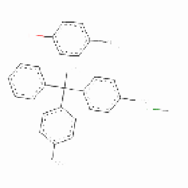 CCCCl.COc1ccc(C(OC)(c2ccccc2)c2ccc(OC)cc2)cc1.O=[N+]([O-])c1ccc(O)cc1